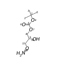 CC(C)(C)OC(=O)OCC(O)CON